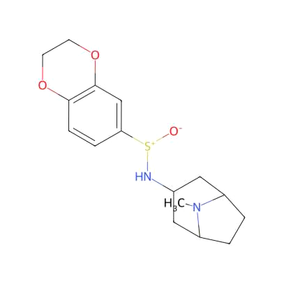 CN1C2CCC1CC(N[S+]([O-])c1ccc3c(c1)OCCO3)C2